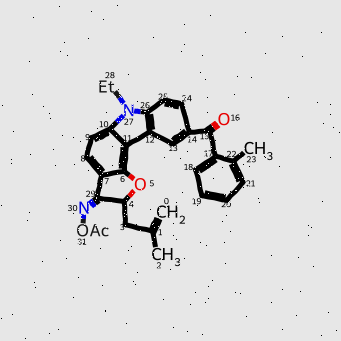 C=C(C)CC1Oc2c(ccc3c2c2cc(C(=O)c4ccccc4C)ccc2n3CC)/C1=N/OC(C)=O